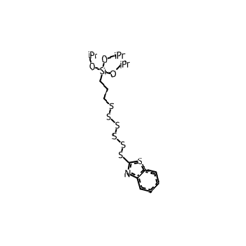 CC(C)O[Si](CCCSSSSSSc1nc2ccccc2s1)(OC(C)C)OC(C)C